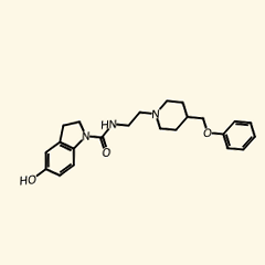 O=C(NCCN1CCC(COc2ccccc2)CC1)N1CCc2cc(O)ccc21